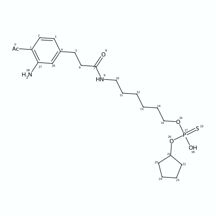 CC(=O)c1ccc(CCC(=O)NCCCCCCOP(O)(=S)OC2CCCC2)cc1N